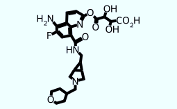 Nc1c(F)cc(C(=O)NCC2C3CN(CC4CCOCC4)CC23)c2nc(OC(=O)C(O)C(O)C(=O)O)ccc12